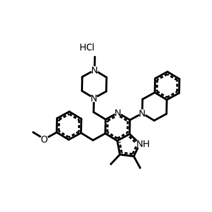 COc1cccc(Cc2c(CN3CCN(C)CC3)nc(N3CCc4ccccc4C3)c3[nH]c(C)c(C)c23)c1.Cl